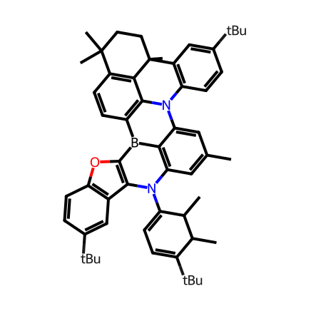 Cc1cc2c3c(c1)N1c4ccc(C(C)(C)C)cc4C4(C)CCC(C)(C)c5ccc(c1c54)B3c1oc3ccc(C(C)(C)C)cc3c1N2C1=CC=C(C(C)(C)C)C(C)C1C